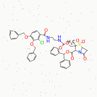 CC1(COC(=O)NCCNC(=O)c2ccc(OCc3ccccc3)c(OCc3ccccc3)c2Cl)C(C(=O)OC(c2ccccc2)c2ccccc2)N2C(=O)CC2S1(=O)=O